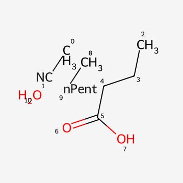 CC#N.CCCC(=O)O.CCCCCC.O